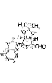 CC1(C)O[C@@H]2[C@@H](O1)[C@@H](C=O)S[C@H]2n1ccc2c(Cl)ncnc21